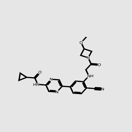 COC1CN(C(=O)CNc2cc(-c3cnc(NC(=O)C4CC4)cn3)ccc2C#N)C1